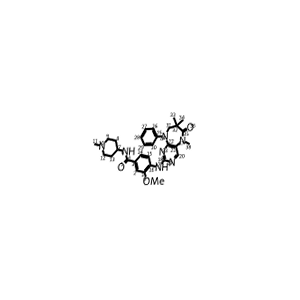 COc1cc(C(=O)NC2CCN(C)CC2)ccc1Nc1ncc2c(n1)N(c1ccccc1)CC(C)(C)C(=O)N2C